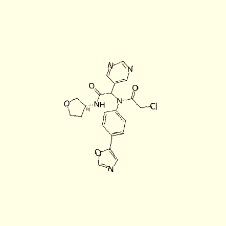 O=C(N[C@@H]1CCOC1)C(c1cncnc1)N(C(=O)CCl)c1ccc(-c2cnco2)cc1